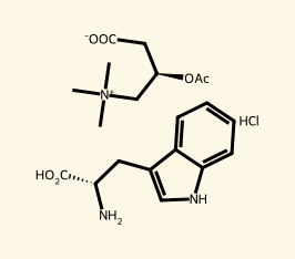 CC(=O)O[C@H](CC(=O)[O-])C[N+](C)(C)C.Cl.N[C@@H](Cc1c[nH]c2ccccc12)C(=O)O